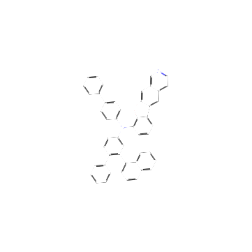 c1ccc(-c2ccc(N(c3ccc(-c4ccccc4)c(-c4cccc5ccccc45)c3)c3cccc4c3oc3cc5cnccc5cc34)cc2)cc1